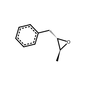 C[C@@H]1O[C@H]1Cc1ccccc1